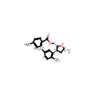 Cc1ccc(C(=O)OC[C@@H]2O[C@H](Cl)C[C@H]2c2cc(C(=O)O)ccc2C)cc1